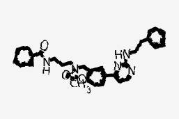 CS(=O)(=O)N(CCCNC(=O)c1ccccc1)Cc1cccc(-c2ccnc(NCCc3ccccc3)n2)c1